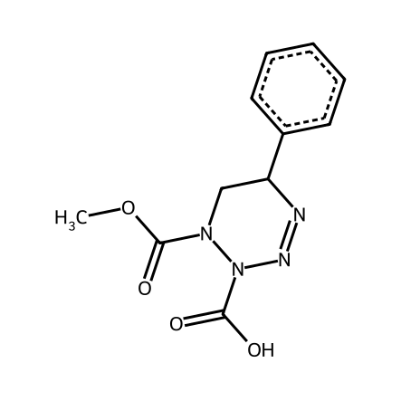 COC(=O)N1CC(c2ccccc2)N=NN1C(=O)O